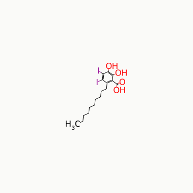 CCCCCCCCCCc1c(I)c(I)c(O)c(O)c1C(=O)O